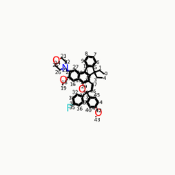 CCC1(CC)c2ccccc2-c2c1c1c(c3cc(OC)c(N4CCOCC4)cc23)OC(c2ccc(F)cc2)(c2ccc(OC)cc2)C=C1